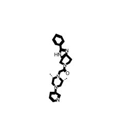 C[C@@H]1CN(c2cccnc2)C[C@H](C)N1CC(=O)N1CCc2nc(-c3ccccc3)[nH]c2C1